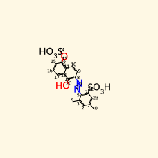 Cc1cc(C)c(N=Nc2ccc3c(OS(=O)(=O)O)cccc3c2O)c(S(=O)(=O)O)c1